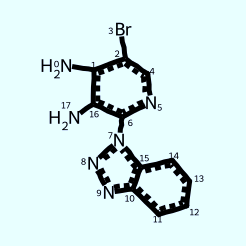 Nc1c(Br)cnc(-n2nnc3ccccc32)c1N